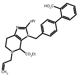 C=CCN1CCc2nc(CCC)n(Cc3ccc(-c4ccccc4C(=O)O)cc3)c2C1C(=O)OCC